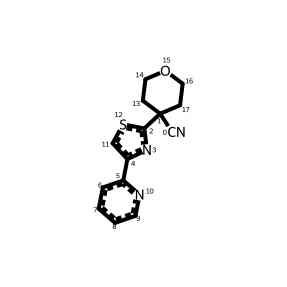 N#CC1(c2nc(-c3ccccn3)cs2)CCOCC1